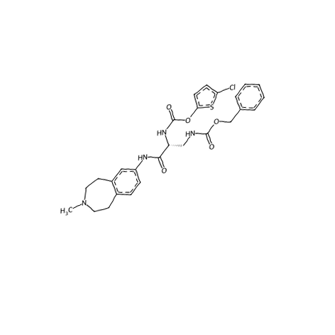 CN1CCc2ccc(NC(=O)[C@@H](CNC(=O)OCc3ccccc3)NC(=O)Oc3ccc(Cl)s3)cc2CC1